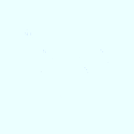 COc1cc2sc(CN)nc2cc1SN1CCN(C)CC1